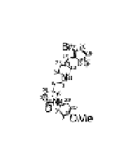 COc1ccc(N2CC(CCN3CCC(Cc4cc(F)ccc4Br)CC3)COC2=O)cc1